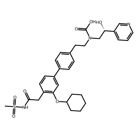 CS(=O)(=O)NC(=O)Cc1ccc(-c2ccc(CCN(C[C@H](O)c3cccnc3)C(=O)O)cc2)cc1OC1CCCCC1